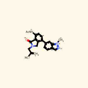 C=C(C#N)CN1Cc2c(-c3ccc4cnn(C)c4c3)ccc(NC(C)=O)c2C1=O